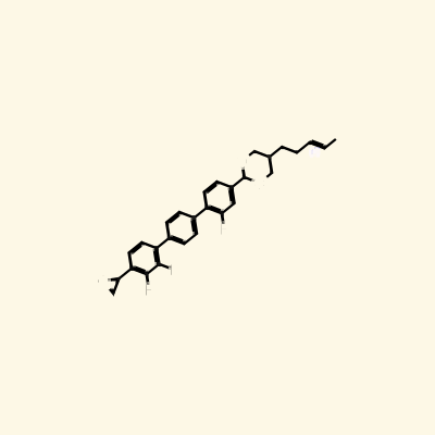 C/C=C/CCC1COC(c2ccc(-c3ccc(-c4ccc(C5CO5)c(F)c4F)cc3)c(F)c2)OC1